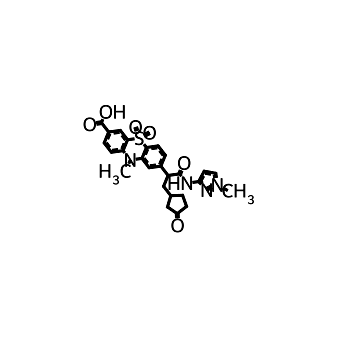 CN1c2cc(C(CC3CCC(=O)C3)C(=O)Nc3ccn(C)n3)ccc2S(=O)(=O)c2cc(C(=O)O)ccc21